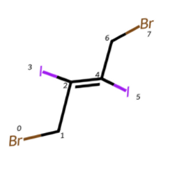 BrCC(I)=C(I)CBr